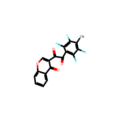 N#Cc1c(F)c(F)c(C(=O)C(=O)c2coc3ccccc3c2=O)c(F)c1F